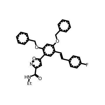 CCNC(=O)c1cc(-c2cc(C=Cc3ccc(F)cc3)c(OCc3ccccc3)cc2OCc2ccccc2)on1